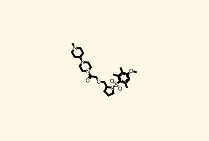 COc1cc(C)c(S(=O)(=O)N2CCCC2COCC(=O)N2CCN(C3CCN(C)CC3)CC2)c(C)c1C